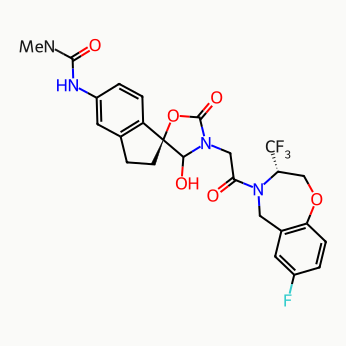 CNC(=O)Nc1ccc2c(c1)CC[C@]21OC(=O)N(CC(=O)N2Cc3cc(F)ccc3OC[C@H]2C(F)(F)F)C1O